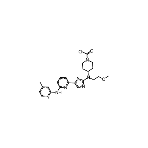 COCCN(c1ncc(-c2cccc(Nc3cc(C)ccn3)n2)s1)C1CCN(C(=O)Cl)CC1